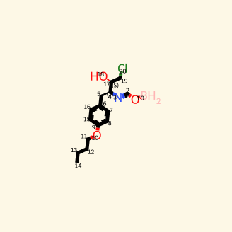 BOC=N[C@@H](Cc1ccc(OCCCC)cc1)[C@H](O)CCl